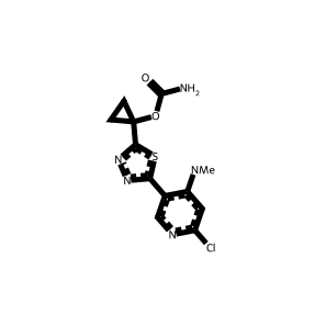 CNc1cc(Cl)ncc1-c1nnc(C2(OC(N)=O)CC2)s1